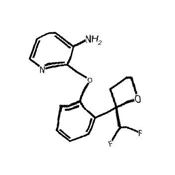 Nc1cccnc1Oc1ccccc1C1(C(F)F)CCO1